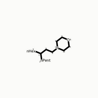 CCCCCCC(CCCCC)CCN1CCOCC1